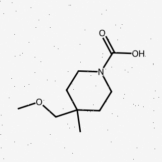 COCC1(C)CCN(C(=O)O)CC1